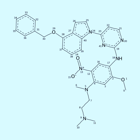 COc1cc(N(C)CCN(C)C)c([N+](=O)[O-])cc1Nc1nccc(-n2ccc3c(OCc4ccccc4)cccc32)n1